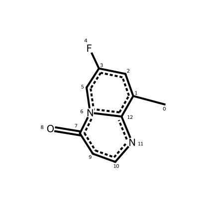 Cc1cc(F)cn2c(=O)ccnc12